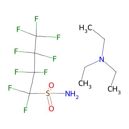 CCN(CC)CC.NS(=O)(=O)C(F)(F)C(F)(F)C(F)(F)C(F)(F)F